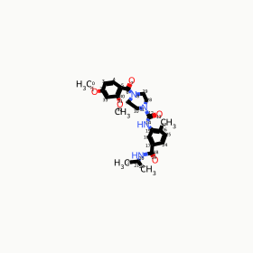 COc1ccc(C(=O)N2CCN(C(=O)Nc3cc(C(=O)NC(C)C)ccc3C)CC2)c(OC)c1